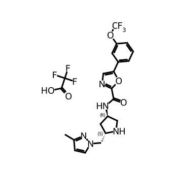 Cc1ccn(C[C@@H]2C[C@@H](NC(=O)c3ncc(-c4cccc(OC(F)(F)F)c4)o3)CN2)n1.O=C(O)C(F)(F)F